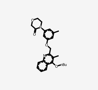 CCCCOc1c(C)c(COc2cc(C)cc(N3CCOCC3=O)c2)nc2ccccc12